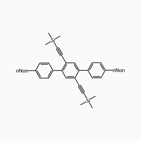 CCCCCCCCCc1ccc(-c2cc(C#C[Si](C)(C)C)c(-c3ccc(CCCCCCCCC)cc3)cc2C#C[Si](C)(C)C)cc1